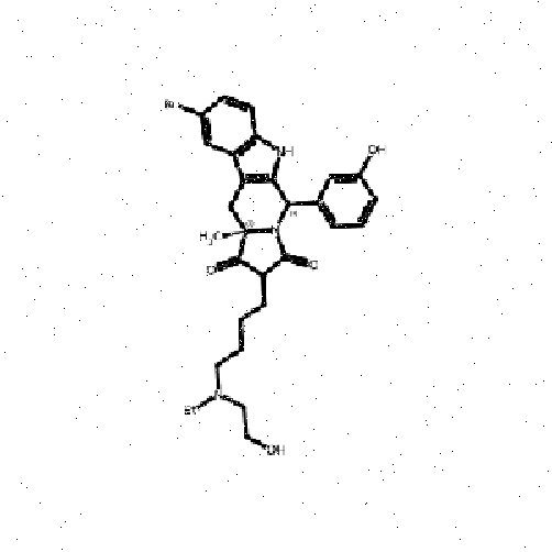 CCN(CCO)CCCCC1C(=O)N2[C@H](c3cccc(O)c3)c3[nH]c4ccc(Br)cc4c3C[C@@]2(C)C1=O